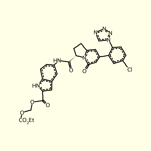 CCOC(=O)OCOC(=O)c1cc2cc(NC(=O)[C@@H]3CCc4cc(-c5cc(Cl)ccc5-n5cnnn5)cc(=O)n43)ccc2[nH]1